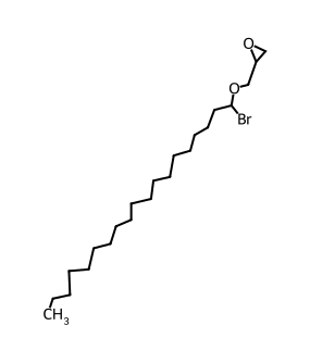 CCCCCCCCCCCCCCCCCCC(Br)OCC1CO1